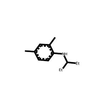 CCC(CC)Nc1ccc(C)cc1C